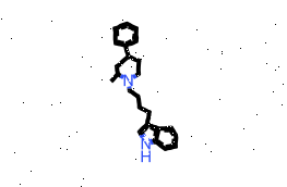 CC1CC(c2ccccc2)CCN1CCCCc1c[nH]c2ccccc12